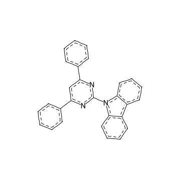 c1ccc(-c2cc(-c3ccccc3)nc(-n3c4ccccc4c4ccccc43)n2)cc1